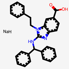 O=C(O)c1ccc2nc(NC(c3ccccc3)c3ccccc3)n(CCc3ccccc3)c2c1.[NaH]